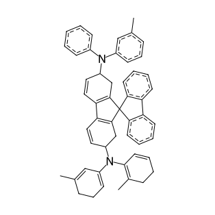 CC1=CC(N(C2=C(C)CCC=C2)C2C=CC3=C(C2)C2(C4=C3C=CC(N(c3ccccc3)c3cccc(C)c3)C4)c3ccccc3-c3ccccc32)=CCC1